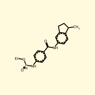 CCO[PH](=O)Nc1ccc(C(=O)Nc2ccc3c(c2)CCC3C)cc1